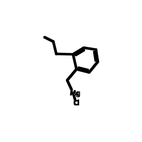 CCCc1ccccc1[CH2][Mg][Cl]